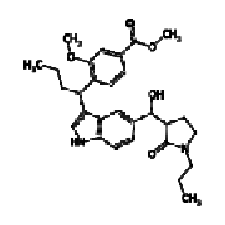 CCCC(c1ccc(C(=O)OC)cc1OC)c1c[nH]c2ccc(C(O)C3CCN(CCC)C3=O)cc12